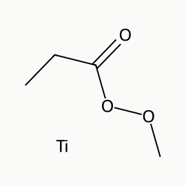 CCC(=O)OOC.[Ti]